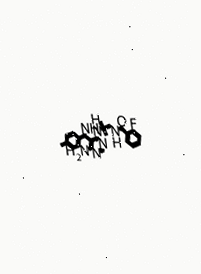 Cc1ccc(C(=N)c2c(N)ncnc2NC(C)(C)CNC(=O)c2ccccc2F)cc1